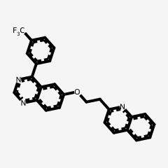 FC(F)(F)c1cccc(-c2ncnc3ccc(OCCc4ccc5ccccc5n4)cc23)c1